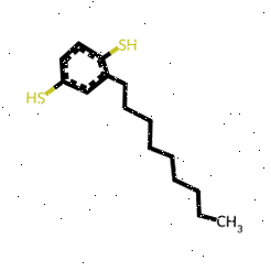 CCCCCCCCCc1cc(S)ccc1S